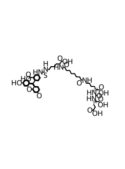 O=C(O)CC[C@H](NC(=O)N[C@@H](CCCCNC(=O)CCCCCCC(=O)NC(CCCCNC(=S)Nc1ccc(-c2c3ccc(=O)cc-3oc3cc(O)ccc23)c(C(=O)O)c1)C(=O)O)C(=O)O)C(=O)O